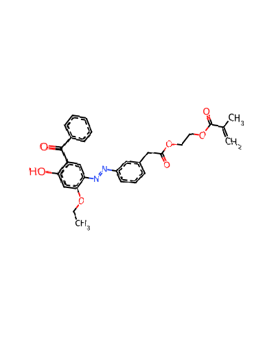 C=C(C)C(=O)OCCOC(=O)Cc1cccc(/N=N/c2cc(C(=O)c3ccccc3)c(O)cc2OCC)c1